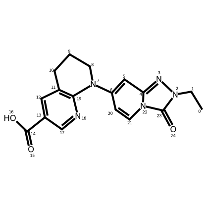 CCn1nc2cc(N3CCCc4cc(C(=O)O)cnc43)ccn2c1=O